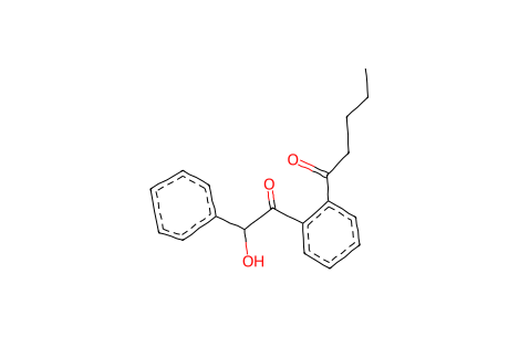 CCCCC(=O)c1ccccc1C(=O)C(O)c1ccccc1